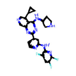 Fc1cc(F)c(Nc2cc(-c3nc(NC4CCNC4)c4c(C5CC5)cncc4n3)ccn2)nc1F